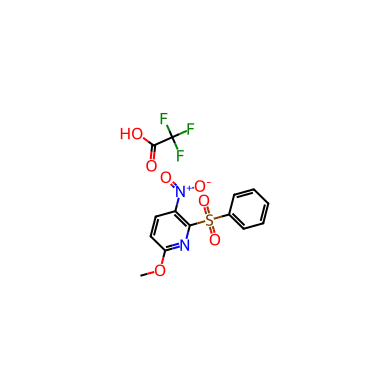 COc1ccc([N+](=O)[O-])c(S(=O)(=O)c2ccccc2)n1.O=C(O)C(F)(F)F